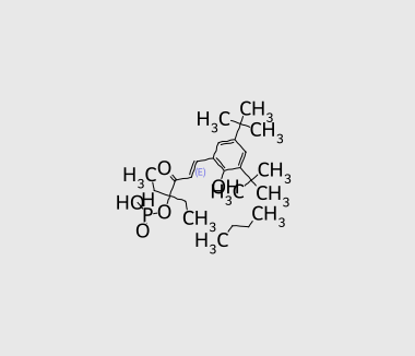 CCC(CC)(O[PH](=O)O)C(=O)/C=C/c1cc(C(C)(C)C)cc(C(C)(C)C)c1O.CCCC